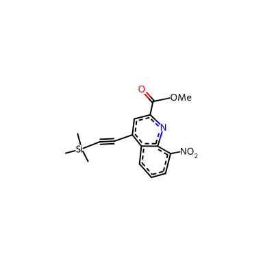 COC(=O)c1cc(C#C[Si](C)(C)C)c2cccc([N+](=O)[O-])c2n1